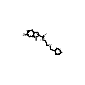 O=C(NCCOCc1ccccc1)c1cc2ccc(O)cc2[nH]1